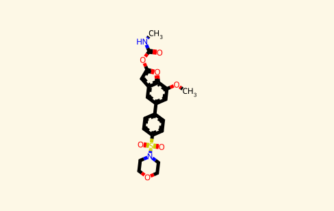 CNC(=O)Oc1cc2cc(-c3ccc(S(=O)(=O)N4CCOCC4)cc3)cc(OC)c2o1